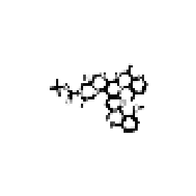 COc1cccc(F)c1-c1nc2c(cc1F)c1c(c(=O)n2-c2c(C)ccnc2C(C)C)OC[C@H]2CN(C(=O)OC(C)(C)C)[C@H](C)CN12